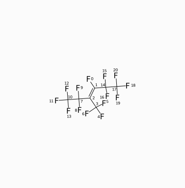 FC(=C(C(F)(F)F)C(F)(F)C(F)(F)F)C(F)(F)C(F)(F)F